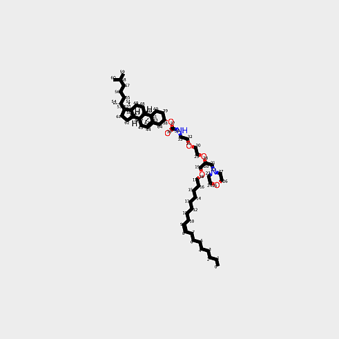 CCCCCCCC/C=C\CCCCCCCCOCC(CN1CCOCC1)OCCOCCNC(=O)O[C@H]1CC[C@@]2(C)C(=CC[C@@H]3[C@@H]2CC[C@]2(C)C([C@H](C)CCCC(C)C)CC[C@@H]32)C1